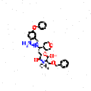 CN(C(=O)CC[C@H](NCc1cc(Oc2ccccc2)ccc1N)C1CCOCC1)[C@H](COCc1ccccc1)C(=O)O